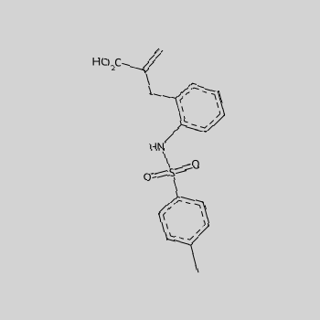 C=C(Cc1ccccc1NS(=O)(=O)c1ccc(C)cc1)C(=O)O